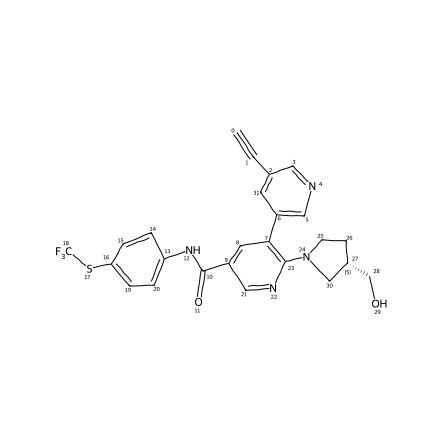 C#Cc1cncc(-c2cc(C(=O)Nc3ccc(SC(F)(F)F)cc3)cnc2N2CC[C@H](CO)C2)c1